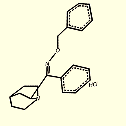 Cl.c1ccc(CON=C(c2ccccc2)C2CC3CCN2CC3)cc1